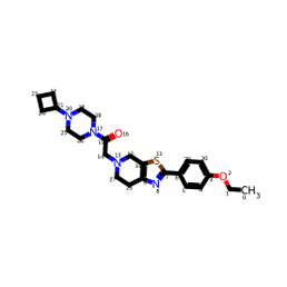 CCOc1ccc(-c2nc3c(s2)CN(CC(=O)N2CCN(C4CCC4)CC2)CC3)cc1